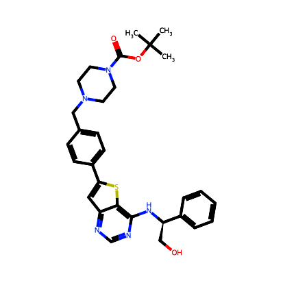 CC(C)(C)OC(=O)N1CCN(Cc2ccc(-c3cc4ncnc(N[C@H](CO)c5ccccc5)c4s3)cc2)CC1